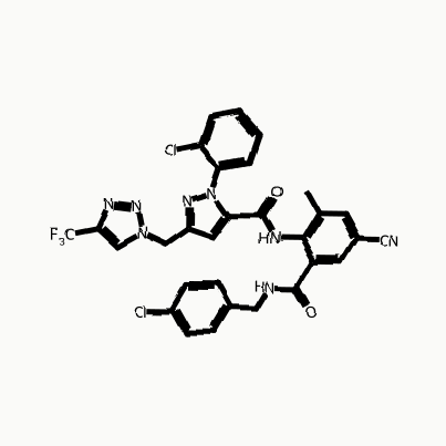 Cc1cc(C#N)cc(C(=O)NCc2ccc(Cl)cc2)c1NC(=O)c1cc(Cn2cc(C(F)(F)F)nn2)nn1-c1ccccc1Cl